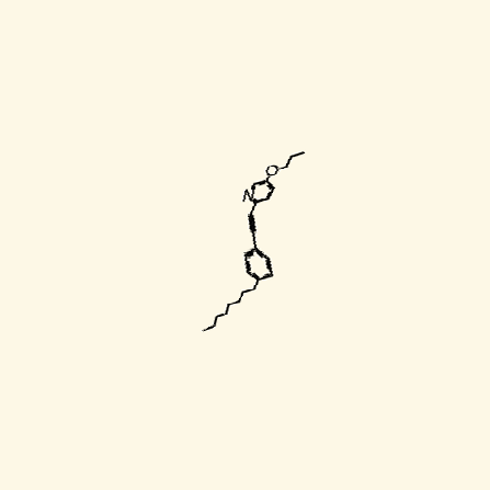 CCCCCCCCc1ccc(C#Cc2ccc(OCCC)cn2)cc1